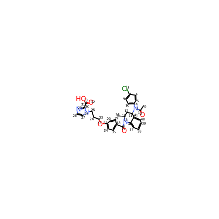 CC(=O)N(c1ccc(Cl)cc1)[C@@H]1C[C@H](C)N(C(=O)c2ccc(OCCCn3ccnc3C(=O)O)cc2)c2ccccc21